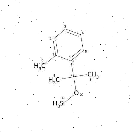 Cc1ccccc1C(C)(C)O[SiH3]